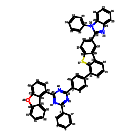 c1ccc(-c2nc(-c3ccc(-c4cccc5c4sc4ccc(-c6nc7ccccc7n6-c6ccccc6)cc45)cc3)nc(-c3cccc4oc5ccccc5c34)n2)cc1